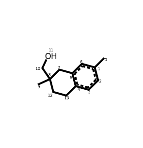 Cc1ccc2c(c1)CC(C)(CO)CC2